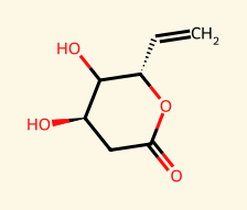 C=C[C@@H]1OC(=O)C[C@@H](O)C1O